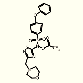 O=C(ON(c1nc(CN2CCOCC2)ns1)S(=O)(=O)c1ccc(Oc2ccccc2)cc1)C(F)(F)F